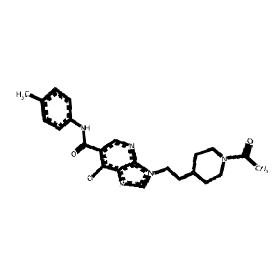 CC(=O)N1CCC(CCn2cnc3c(Cl)c(C(=O)Nc4ccc(C)cc4)cnc32)CC1